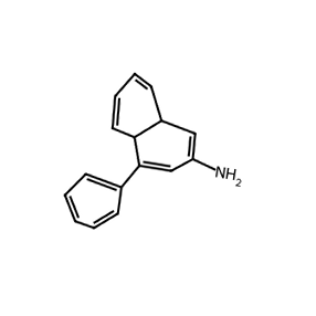 NC1=CC2C=CC=CC2C(c2ccccc2)=C1